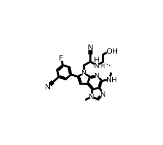 CNc1nc2c(cc(-c3cc(F)cc(C#N)c3)n2CC(C#N)N[C@@H](C)CO)c2c1ncn2C